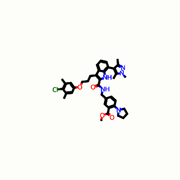 COC(=O)c1cc(CNC(=O)c2[nH]c3c(-c4c(C)nn(C)c4C)cccc3c2CCCOc2cc(C)c(Cl)c(C)c2)ccc1N1CCCC1